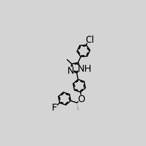 Cc1nc(-c2ccc(O[C@H](C)c3cccc(F)c3)cc2)[nH]c1-c1ccc(Cl)cc1